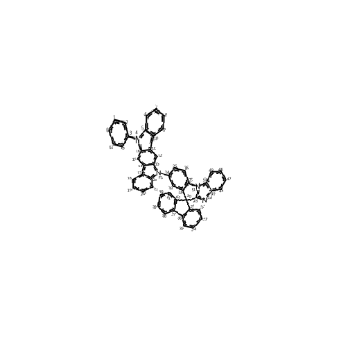 c1ccc(-n2c3ccccc3c3cc4c(cc32)c2ccccc2n4-c2ccc3c(c2)C2(c4ccccc4-c4ccccc42)c2nc4ccccc4n2-3)cc1